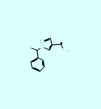 O=C(O)c1cnn(C(I)c2ccccc2)c1